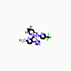 Cc1ccc(-n2cncn2)c(C(=O)N2C[C@@H]3C[C@@H]3C[C@H]2CNc2ccc(C(F)(F)F)cn2)n1